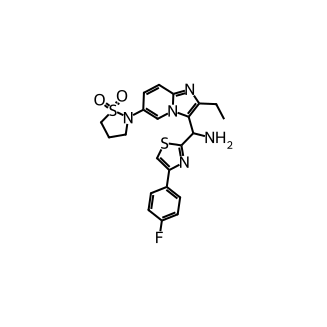 CCc1nc2ccc(N3CCCS3(=O)=O)cn2c1C(N)c1nc(-c2ccc(F)cc2)cs1